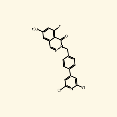 CC(C)(C)c1cc(F)c2c(=O)n(Cc3ccc(-c4cc(Cl)nc(Cl)c4)cc3)ncc2c1